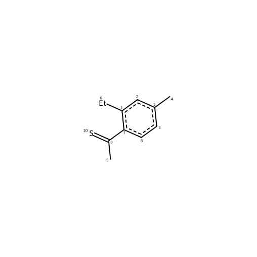 CCc1cc(C)ccc1C(C)=S